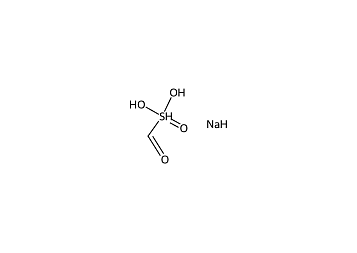 O=C[SH](=O)(O)O.[NaH]